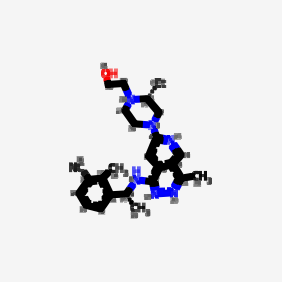 CC[C@@H]1CN(c2cc3c(N[C@H](C)c4cccc(C#N)c4C)nnc(C)c3cn2)CCN1CCO